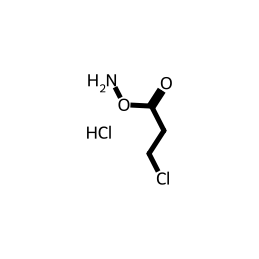 Cl.NOC(=O)CCCl